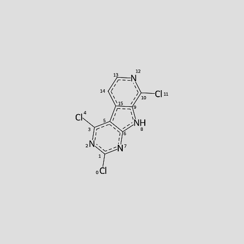 Clc1nc(Cl)c2c(n1)[nH]c1c(Cl)nccc12